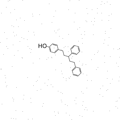 Oc1ccc(CCC(CCc2ccccc2)c2ccccc2)cc1